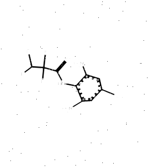 O=C(Nc1c([N+](=O)[O-])cc(C(F)(F)F)cc1[N+](=O)[O-])C(F)(F)C(F)F